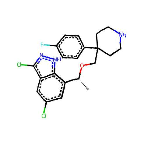 C[C@@H](OCC1(c2ccc(F)cc2)CCNCC1)c1cc(Cl)cc2c(Cl)n[nH]c12